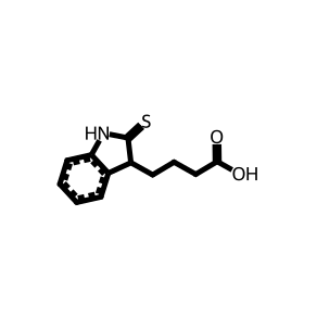 O=C(O)CCCC1C(=S)Nc2ccccc21